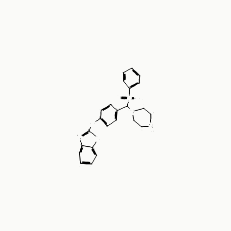 O=S(=O)(c1ccccc1)C(c1ccc(Oc2nc3ccccc3s2)cc1)N1CCNCC1